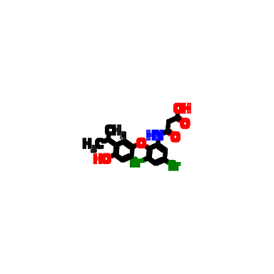 CC(C)c1cc(Oc2c(Br)cc(Br)cc2NC(=O)CC(=O)O)ccc1O